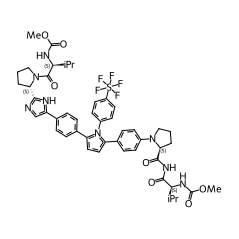 COC(=O)N[C@H](C(=O)NC(=O)[C@@H]1CCCN1c1ccc(-c2ccc(-c3ccc(-c4cnc([C@@H]5CCCN5C(=O)[C@@H](NC(=O)OC)C(C)C)[nH]4)cc3)n2-c2ccc(S(F)(F)(F)(F)F)cc2)cc1)C(C)C